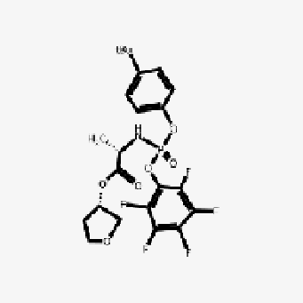 C[C@H](NP(=O)(Oc1ccc(C(C)(C)C)cc1)Oc1c(F)c(F)c(F)c(F)c1F)C(=O)O[C@H]1CCOC1